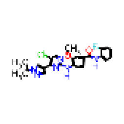 COc1cc(C(=O)Nc2ccccc2F)ccc1Nc1ncc(Cl)c(-c2cnn(C(C)C)c2)n1